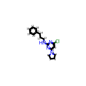 Clc1cc(N2CCCC2)nc(NCCCc2ccccc2)n1